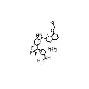 CN[C@H]1CCN(C(c2ccc3nnc(-c4ccc5cccc(OCC6CC6)c5n4)n3c2)C(F)(F)F)C1.Cl.Cl